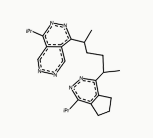 CC(C)c1nnc(C(C)CCC(C)c2nnc(C(C)C)c3cnncc23)c2c1CCC2